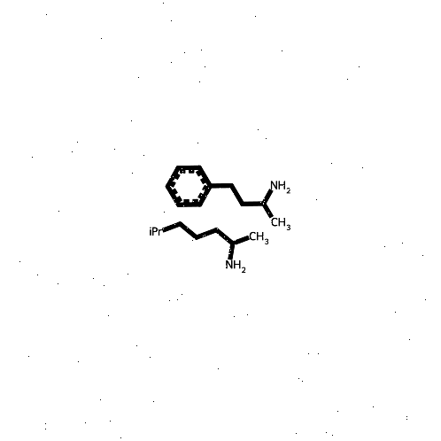 CC(C)CCCC(C)N.CC(N)CCc1ccccc1